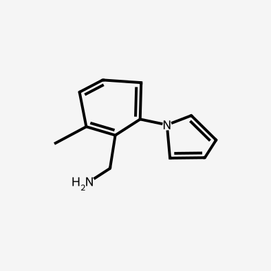 Cc1cccc(-n2cccc2)c1CN